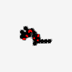 c1ccc(-c2ccc(-c3ccc(-c4ccc(N(c5ccccc5)c5cccc6c5-c5ccccc5C65c6ccccc6-n6c7ccc(-c8cccc(-c9cc(-c%10ccccc%10)cc(N(c%10cc%11c%12c(c%10)c%10ccccc%10n%12-c%10ccccc%10C%11%10c%11ccccc%11-c%11ccccc%11%10)c%10ccccc%10-c%10ccccc%10)c9)c8)cc7c7cccc5c76)cc4)cc3)cc2)cc1